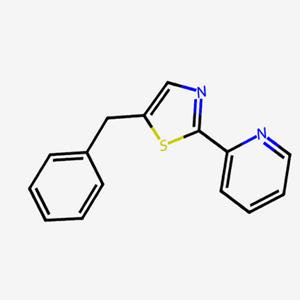 c1ccc(Cc2cnc(-c3ccccn3)s2)cc1